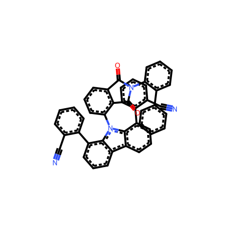 N#Cc1ccccc1-c1cccc2c3cccc(-c4ccccc4C#N)c3n(-c3cccc4c3C(=O)N(c3ccccc3-c3ccccc3)C4=O)c12